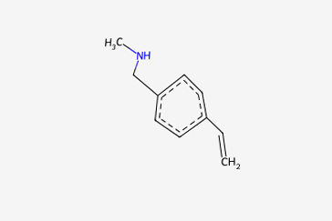 C=Cc1ccc(CNC)cc1